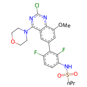 CCCS(=O)(=O)Nc1ccc(F)c(-c2cc(OC)c3nc(Cl)nc(N4CCOCC4)c3c2)c1F